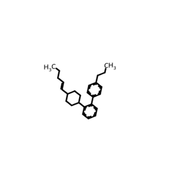 CCCC=CC1CCC(c2ccccc2-c2ccc(CCC)cc2)CC1